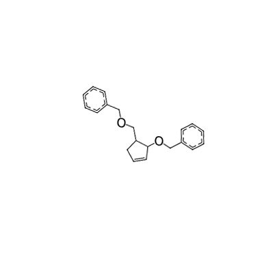 C1=CC(OCc2ccccc2)C(COCc2ccccc2)C1